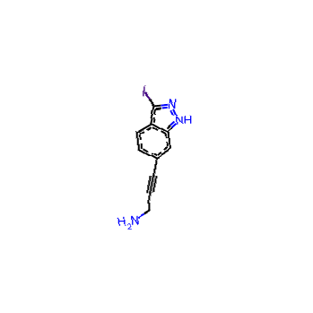 NCC#Cc1ccc2c(I)n[nH]c2c1